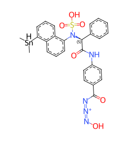 [CH3][SnH]([CH3])[c]1cccc2c(N([C@H](C(=O)Nc3ccc(C(=O)N=[N+]=NO)cc3)c3ccccc3)S(=O)(=O)O)cccc12